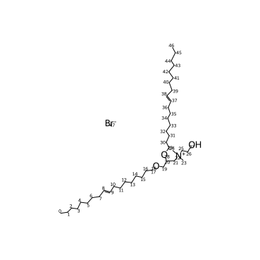 CCCCCCCC/C=C/CCCCCCCCOCC(C[N+](C)(C)CCO)OCCCCCCCC/C=C/CCCCCCCC.[Br-]